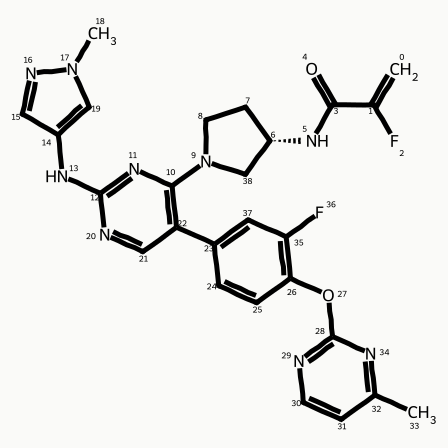 C=C(F)C(=O)N[C@H]1CCN(c2nc(Nc3cnn(C)c3)ncc2-c2ccc(Oc3nccc(C)n3)c(F)c2)C1